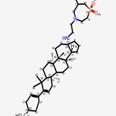 CC1CN(CCN[C@]23CCC[C@@H]2[C@H]2CCC4[C@@]5(C)CC=C(C6=CC[C@H](C(=O)O)CC6)C(C)(C)C5CC[C@@]4(C)[C@]2(C)CC3)CCS(=O)(=O)C1